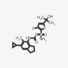 Cc1c(C2CC2)cc2c(c1NC(=O)N=S(N)(=O)c1sc(C(C)(C)O)cc1F)CCC2